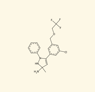 CC1(N)C=C(c2cc(Cl)cc(COCC(F)(F)F)c2)N(c2ccccc2)N1